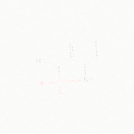 CC(c1ccccc1[N+](=O)[O-])P(=O)(O)O